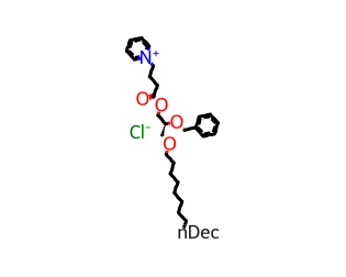 CCCCCCCCCCCCCCCCCCOC[C@@H](COC(=O)CCC[n+]1ccccc1)OCc1ccccc1.[Cl-]